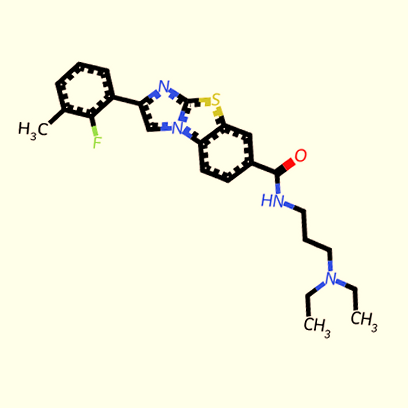 CCN(CC)CCCNC(=O)c1ccc2c(c1)sc1nc(-c3cccc(C)c3F)cn12